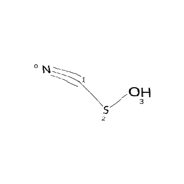 N#CSO